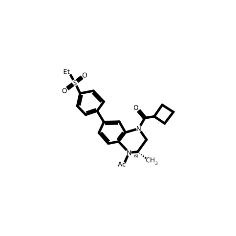 CCS(=O)(=O)c1ccc(-c2ccc3c(c2)N(C(=O)C2CCC2)C[C@H](C)N3C(C)=O)cc1